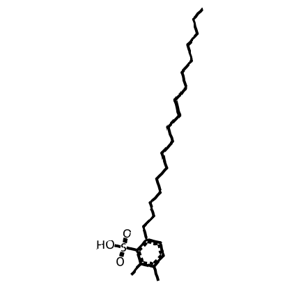 CCCCCCCCCCCCCCCCCCc1ccc(C)c(C)c1S(=O)(=O)O